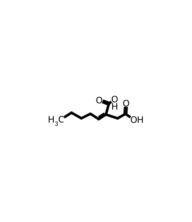 CCCCC=C(CC(=O)O)C(=O)O